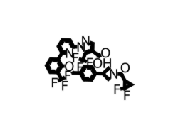 O=C(O)c1cnn(-c2cccc(-c3cccc(C(F)(F)F)c3OCc3ccc(C4CN(C(=O)C5CC5(F)F)C4)cc3)n2)c1C(F)(F)F